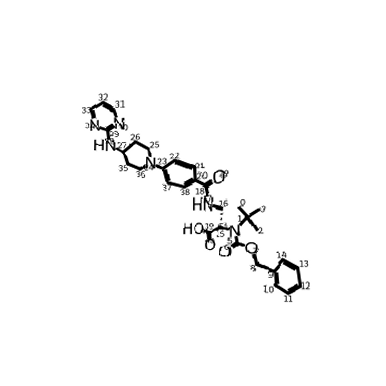 CC(C)(C)N(C(=O)OCc1ccccc1)[C@@H](CNC(=O)c1ccc(N2CCC(Nc3ncccn3)CC2)cc1)C(=O)O